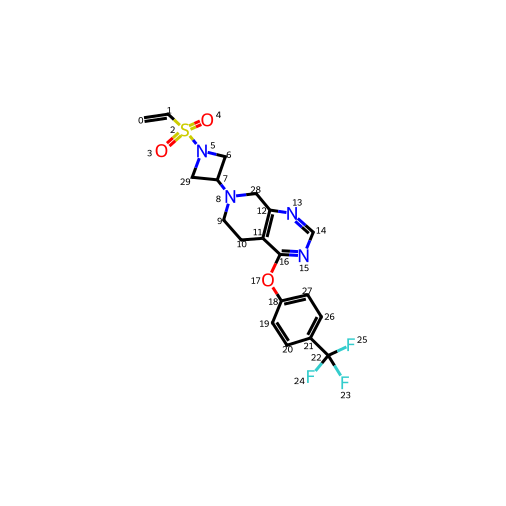 C=CS(=O)(=O)N1CC(N2CCc3c(ncnc3Oc3ccc(C(F)(F)F)cc3)C2)C1